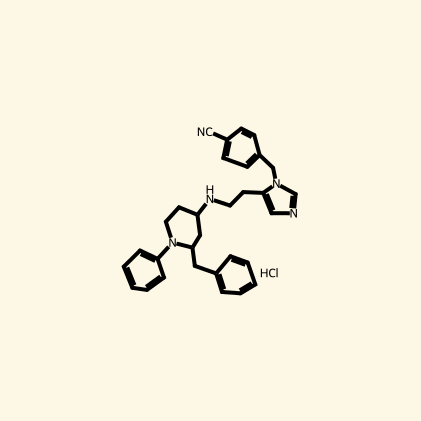 Cl.N#Cc1ccc(Cn2cncc2CCNC2CCN(c3ccccc3)C(Cc3ccccc3)C2)cc1